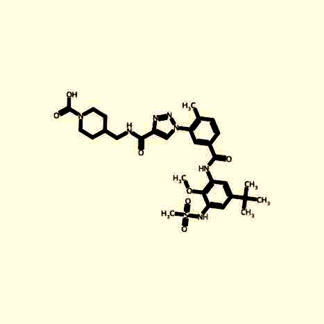 COc1c(NC(=O)c2ccc(C)c(-n3cc(C(=O)NCC4CCN(C(=O)O)CC4)nn3)c2)cc(C(C)(C)C)cc1NS(C)(=O)=O